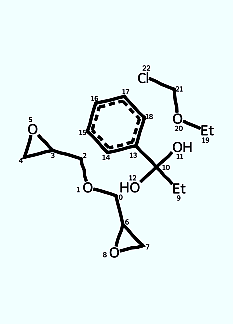 C(OCC1CO1)C1CO1.CCC(O)(O)c1ccccc1.CCOCCl